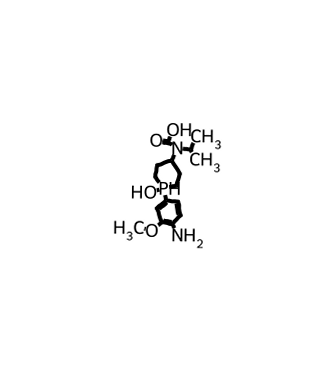 COc1cc([PH]2(O)CCC(N(C(=O)O)C(C)C)CC2)ccc1N